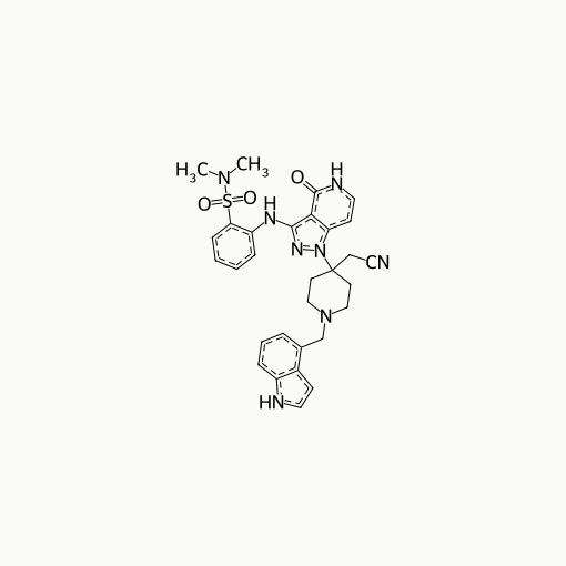 CN(C)S(=O)(=O)c1ccccc1Nc1nn(C2(CC#N)CCN(Cc3cccc4[nH]ccc34)CC2)c2cc[nH]c(=O)c12